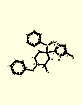 CC(=O)N(c1ccccc1)C1(c2nc(C)cs2)CCN(Cc2ccccc2)C(C)C1